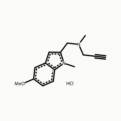 C#CCN(C)Cc1cc2cc(OC)ccc2n1C.Cl